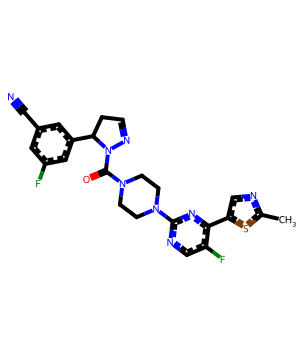 Cc1ncc(-c2nc(N3CCN(C(=O)N4N=CCC4c4cc(F)cc(C#N)c4)CC3)ncc2F)s1